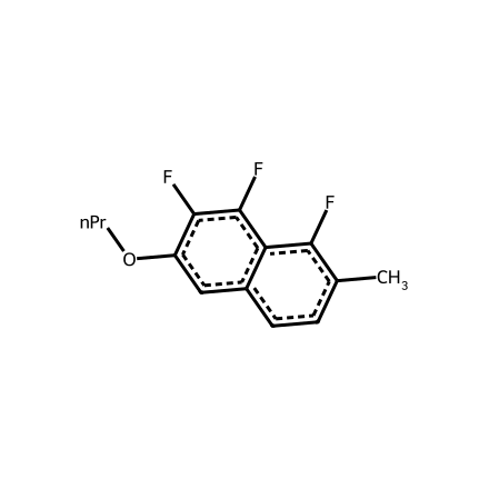 CCCOc1cc2ccc(C)c(F)c2c(F)c1F